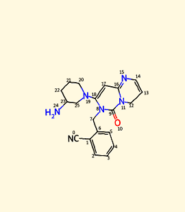 N#Cc1ccccc1CN1C(=O)N2CC=CN=C2C=C1N1CCCC(N)C1